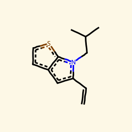 C=Cc1cc2ccsc2n1CC(C)C